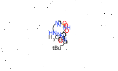 CCC(C)(C)N1CNCCCCn2ccc(n2)S(=O)(=O)NC(=O)c2ccc(N3CCC(CCC(C)(C)C)C3=O)nc21